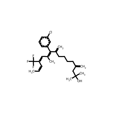 C=C(CCCCC(=C)/C(=C(C)/C=C(\C=C/C)C(F)(F)F)c1cccc(Cl)c1)CC(C)(C)O